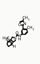 Cc1coc(-c2cc(NC(=O)N3CC4[C@@H]5CC[C@@H](C5)[C@@]4(C)C3)ccc2C)n1